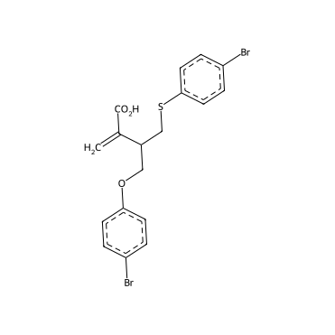 C=C(C(=O)O)C(COc1ccc(Br)cc1)CSc1ccc(Br)cc1